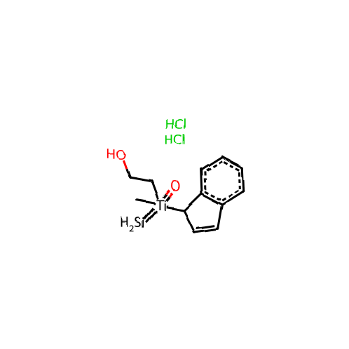 Cl.Cl.[CH3][Ti](=[O])(=[SiH2])([CH2]CO)[CH]1C=Cc2ccccc21